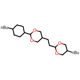 CCCCC1CCC(C2OCC(CCC3OCC(CCCC)CO3)CO2)CC1